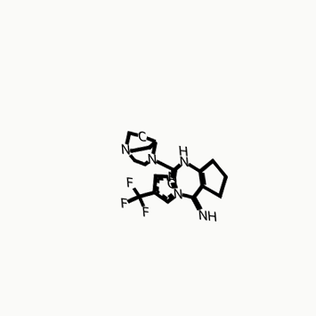 N=C(C1=C(NC(=O)N2CCN3CCC2CC3)CCC1)n1cc(C(F)(F)F)cn1